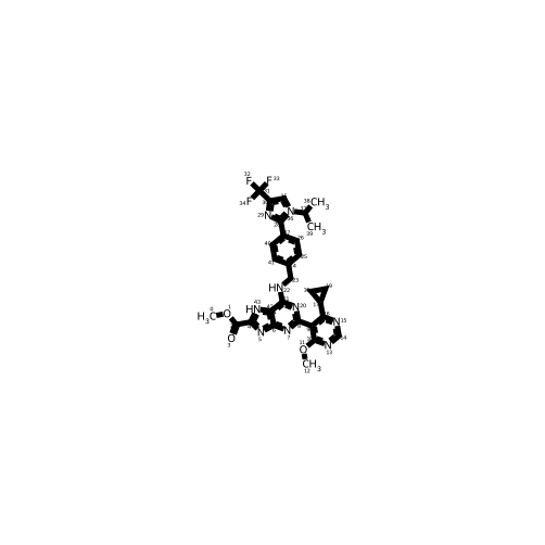 COC(=O)c1nc2nc(-c3c(OC)ncnc3C3CC3)nc(NCc3ccc(-c4nc(C(F)(F)F)cn4C(C)C)cc3)c2[nH]1